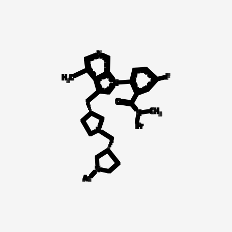 CC(=O)N1CC[C@@H](CN2CC[C@H](Cc3cn(-c4ccc(F)cc4C(=O)N(C)C(C)C)c4cncc(C)c34)C2)C1